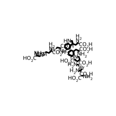 CC(C)C[C@H](N)C(=O)O.CC(C)[C@H](N)C(=O)O.CSCC[C@H](N)C(=O)O.C[C@H](N)C(=O)O.NCC(=O)O.N[C@@H](CS)C(=O)O.N[C@@H](Cc1c[nH]c2ccccc12)C(=O)O.N[C@@H](Cc1ccccc1)C(=O)O.O=C(O)[C@@H]1CCCN1